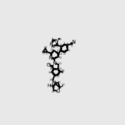 Cn1cnnc1-c1cc(C#N)ccc1-c1cc(C2CC2)nc(N2Cc3c(F)cc(CN4C[C@@]5(C)C[C@@H]4CO5)cc3C2=O)c1